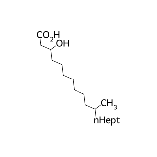 CCCCCCCC(C)CCCCCCCC(O)CC(=O)O